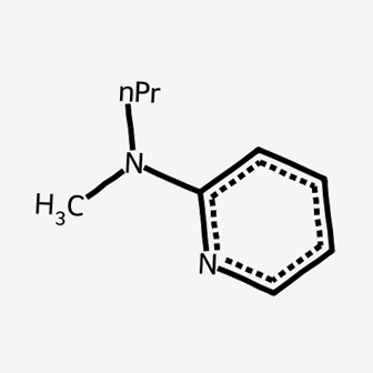 CCCN(C)c1ccccn1